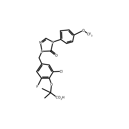 CC(C)(Oc1c(F)cc(Cn2ncn(-c3ccc(OC(F)(F)F)cc3)c2=O)cc1Cl)C(=O)O